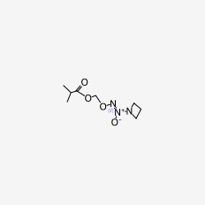 CC(C)C(=O)OCO/N=[N+](\[O-])N1CCC1